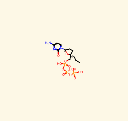 CCC[C@@]1(COP(=O)(O)OP(=O)(O)OP(=O)(O)O)CC[C@H](n2ccc(N)nc2=O)O1